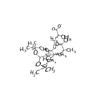 C=C(C)C(=O)[O-].C=C(C)C(=O)[O-].C=C(C)C(=O)[O-].C[Si](C)(C)OC([Si+3])O[Si](C)(C)C